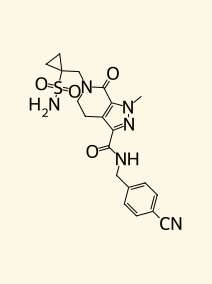 Cn1nc(C(=O)NCc2ccc(C#N)cc2)c2c1C(=O)N(CC1(S(N)(=O)=O)CC1)CC2